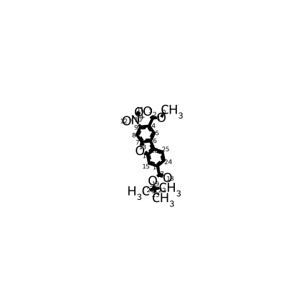 COC(=O)c1cc2c(cc1[N+](=O)[O-])oc1cc(C(=O)OC(C)(C)C)ccc12